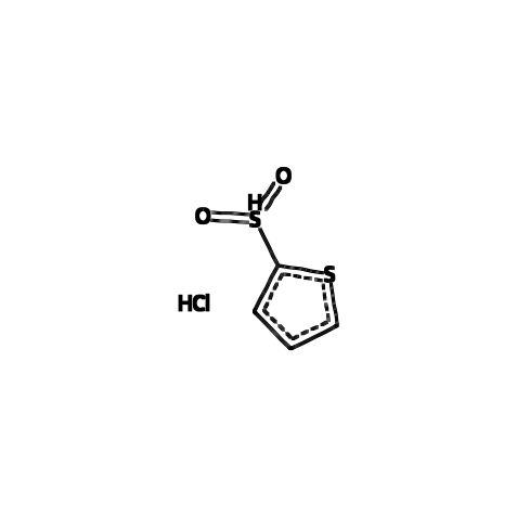 Cl.O=[SH](=O)c1cccs1